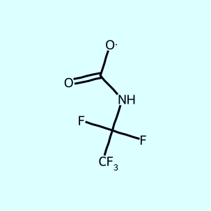 [O]C(=O)NC(F)(F)C(F)(F)F